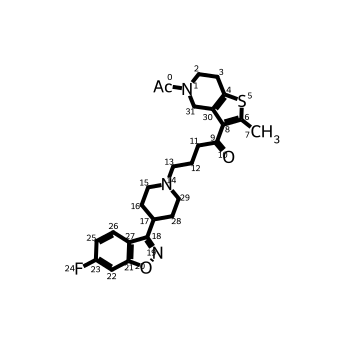 CC(=O)N1CCc2sc(C)c(C(=O)CCCN3CCC(c4noc5cc(F)ccc45)CC3)c2C1